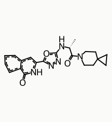 C[C@@H](Nc1nnc(-c2cc3ccccc3c(=O)[nH]2)o1)C(=O)N1CCC2(CC1)CC2